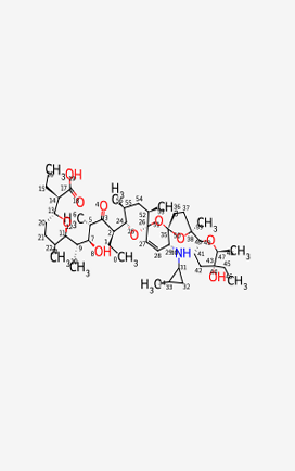 CC[C@@H](C(=O)[C@@H](C)[C@@H](O)[C@H](C)[C@@H]1O[C@@H]([C@@H](CC)C(=O)O)CC[C@@H]1C)[C@H]1O[C@]2(C=C[C@@H](NC3CC3C)[C@]3(CC[C@@](C)([C@H]4CC[C@](O)(CC)[C@H](C)O4)O3)O2)[C@H](C)C[C@@H]1C